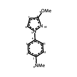 CNc1ccc(-n2ccc(OC)n2)cc1